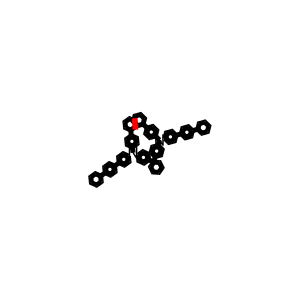 c1cc(C2CCCCC2)ccc1-c1ccc(N(c2ccc(C3CCCCC3)cc2)c2ccc(C3(c4ccc(N(c5ccc(-c6ccc(C7CCCCC7)cc6)cc5)c5ccc(C6CCCCC6)cc5)cc4)CCCCC3)cc2)cc1